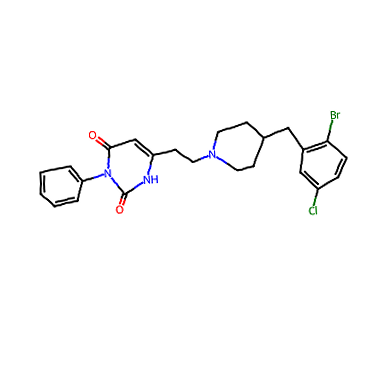 O=c1cc(CCN2CCC(Cc3cc(Cl)ccc3Br)CC2)[nH]c(=O)n1-c1ccccc1